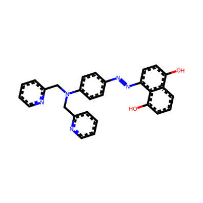 Oc1ccc(/N=N/c2ccc(N(Cc3ccccn3)Cc3ccccn3)cc2)c2c(O)cccc12